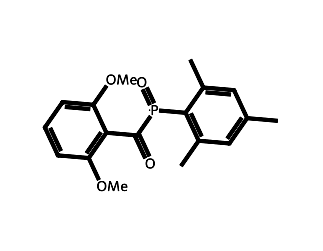 COc1cccc(OC)c1C(=O)[P](=O)c1c(C)cc(C)cc1C